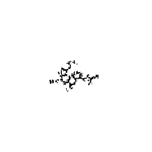 CCc1coc([C@H](C)Oc2cc3onc(CCC(=O)O)c3cc2Cl)n1